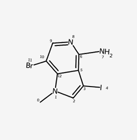 Cn1cc(I)c2c(N)ncc(Br)c21